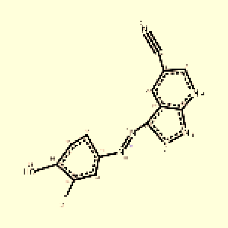 N#Cc1cnc2nsc(/N=N/c3ccc(O)c(F)c3)c2c1